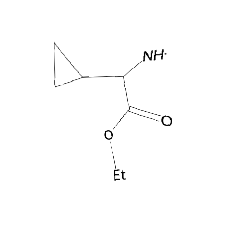 CCOC(=O)C([NH])C1CC1